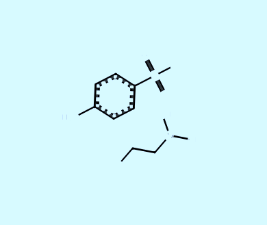 CN(C)CCS.Cc1ccc(S(=O)(=O)O)cc1.Cl